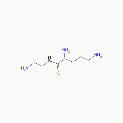 NCCBC(=O)C(N)CCCN